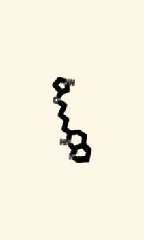 c1cnc2c(c1)CCC(CCCCOC1CCNC1)N2